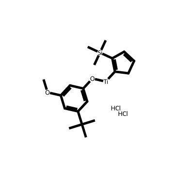 COc1cc([O][Ti][C]2=C([Si](C)(C)C)C=CC2)cc(C(C)(C)C)c1.Cl.Cl